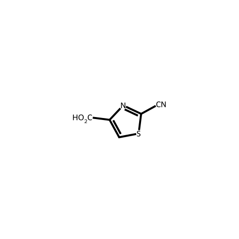 N#Cc1nc(C(=O)O)cs1